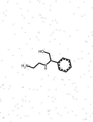 NCCNC(CO)c1ccccc1